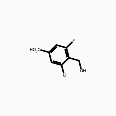 O=C(O)c1cc(F)c(CO)c(Cl)c1